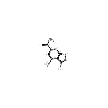 CCc1nsc2nc(C(N)=O)cc(C)c12